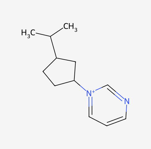 CC(C)C1CCC([n+]2cccnc2)C1